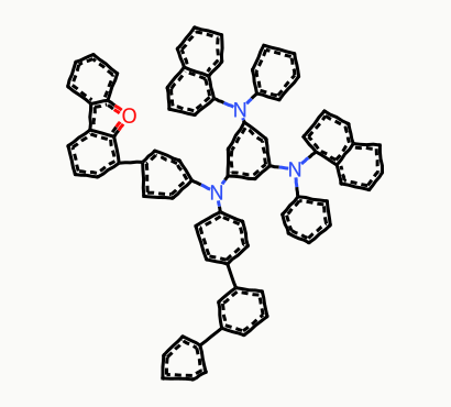 c1ccc(-c2cccc(-c3ccc(N(c4ccc(-c5cccc6c5oc5ccccc56)cc4)c4cc(N(c5ccccc5)c5cccc6ccccc56)cc(N(c5ccccc5)c5cccc6ccccc56)c4)cc3)c2)cc1